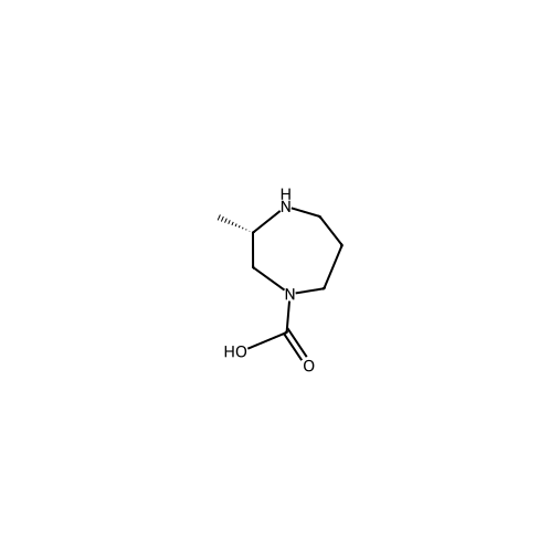 C[C@H]1CN(C(=O)O)CCCN1